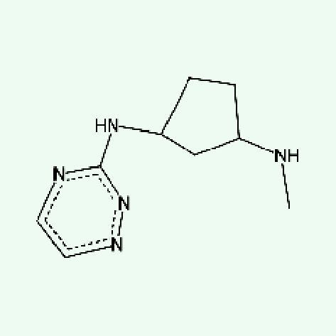 CNC1CCC(Nc2nccnn2)C1